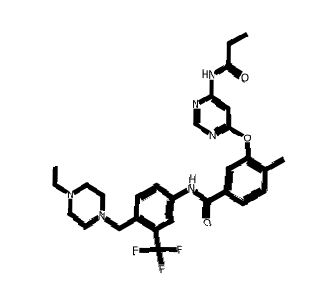 CCC(=O)Nc1cc(Oc2cc(C(=O)Nc3ccc(CN4CCN(CC)CC4)c(C(F)(F)F)c3)ccc2C)ncn1